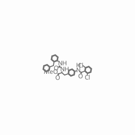 COC(=O)C(Cc1ccc(NC(=O)c2c(Cl)cccc2Cl)cc1)NC(=O)Nc1ccccc1Cc1ccccc1